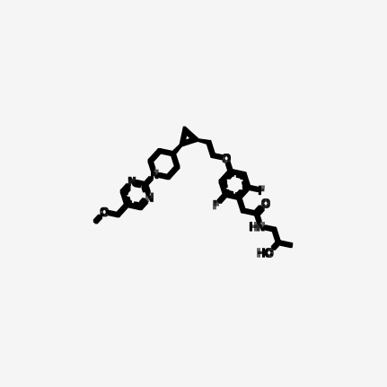 COCc1cnc(N2CCC([C@H]3C[C@H]3CCOc3cc(F)c(CC(=O)NCC(C)O)c(F)c3)CC2)nc1